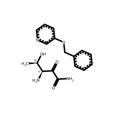 C[C@@H](O)[C@H](N)C(=O)C(N)=O.c1ccc(COc2cccnc2)cc1